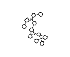 c1ccc(-c2cccc(N(c3cccc(-c4ccccc4)c3)c3cccc(-c4ccc5c6ccccc6n(-c6ccc7c(c6)C(c6ccccc6)(c6ccccc6)c6ccccc6-7)c5c4)c3)c2)cc1